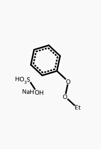 CCOOc1ccccc1.O=S(=O)(O)O.[NaH]